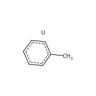 Cc1ccccc1.[U]